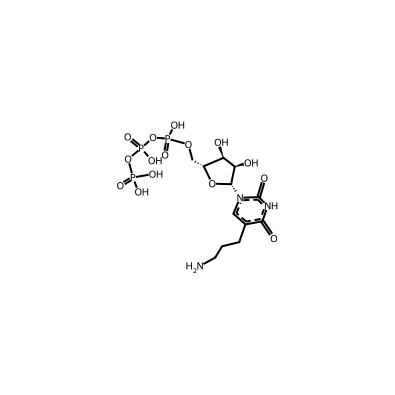 NCCCc1cn([C@@H]2O[C@H](COP(=O)(O)OP(=O)(O)OP(=O)(O)O)[C@@H](O)[C@H]2O)c(=O)[nH]c1=O